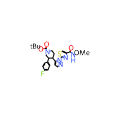 CONC(=O)c1csc(-n2nccc2C2CCN(C(=O)OC(C)(C)C)CC2c2ccc(F)cc2)n1